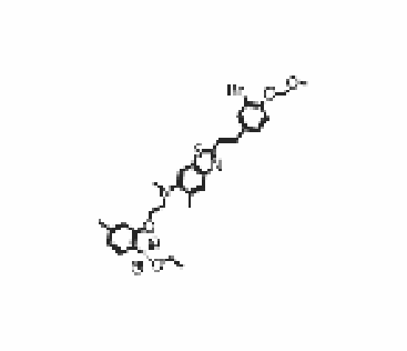 CCOS(=O)(=O)c1ccc(C)cc1OCCN(C)c1cc2sc(C=Cc3ccc(OCOC)c(Br)c3)nc2cc1C